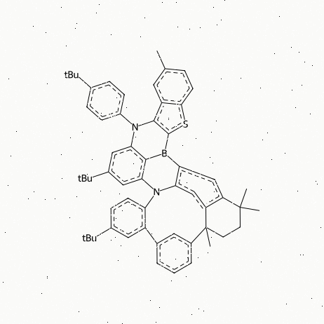 Cc1ccc2sc3c(c2c1)N(c1ccc(C(C)(C)C)cc1)c1cc(C(C)(C)C)cc2c1B3c1cc3c4cc1N2c1ccc(C(C)(C)C)cc1-c1cccc(c1)C4(C)CCC3(C)C